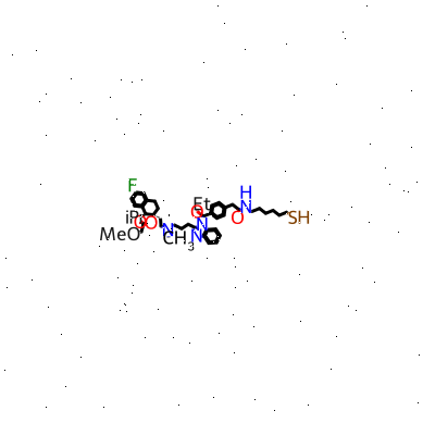 CCOC(c1ccc(CC(=O)NCCCCCCS)cc1)n1c(CCCN(C)CC[C@@]2(OC(=O)COC)CCc3cc(F)ccc3[C@@H]2C(C)C)nc2ccccc21